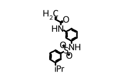 C=CC(=O)Nc1cccc(NS(=O)(=O)c2cccc(C(C)C)c2)c1